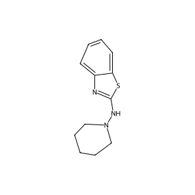 c1ccc2sc(NN3CCCCC3)nc2c1